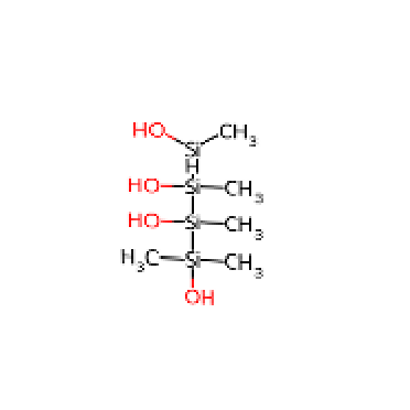 C[SiH](O)[Si](C)(O)[Si](C)(O)[Si](C)(C)O